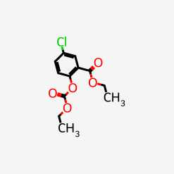 CCOC(=O)Oc1ccc(Cl)cc1C(=O)OCC